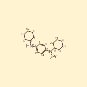 CC(C)N(c1ccc(NC2CCCCC2)cc1)C1CCCCC1